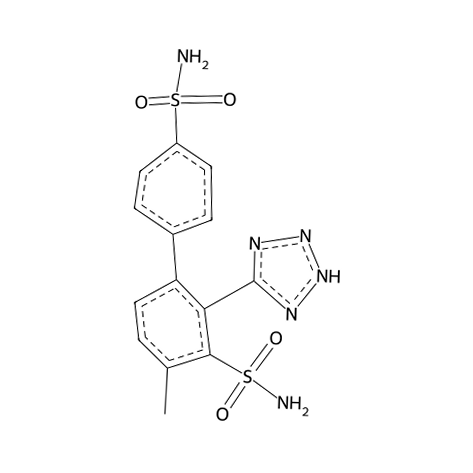 Cc1ccc(-c2ccc(S(N)(=O)=O)cc2)c(-c2nn[nH]n2)c1S(N)(=O)=O